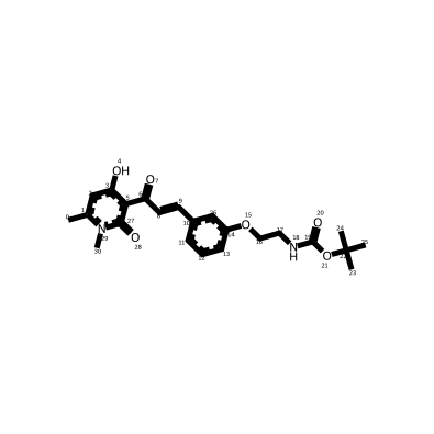 Cc1cc(O)c(C(=O)C=Cc2cccc(OCCNC(=O)OC(C)(C)C)c2)c(=O)n1C